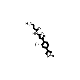 Cn1cc(-c2ccc(-c3cc(NC(=O)CCN)on3)cc2)cn1.[Cl-].[H+]